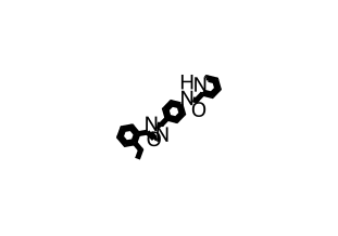 CCc1ccccc1-c1nc(-c2ccc(NC(=O)c3ccccn3)cc2)no1